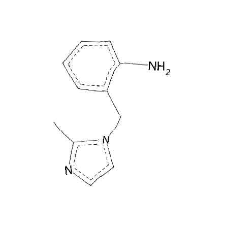 Cc1nccn1Cc1ccccc1N